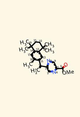 C=C(c1cnc(C(=O)OC)cn1)c1cc2c(cc1C)C(C)(C)CCC2(C)C